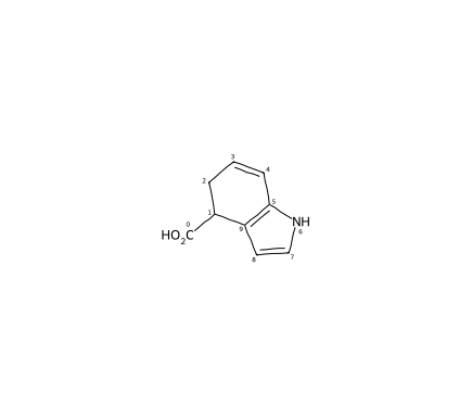 O=C(O)C1CC=Cc2[nH]ccc21